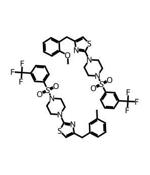 COc1ccccc1Cc1csc(N2CCN(S(=O)(=O)c3cccc(C(F)(F)F)c3)CC2)n1.Cc1cccc(Cc2csc(N3CCN(S(=O)(=O)c4cccc(C(F)(F)F)c4)CC3)n2)c1